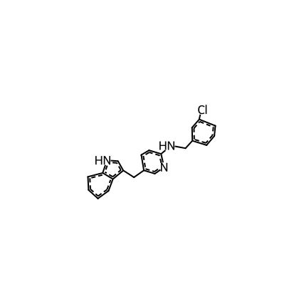 Clc1cccc(CNc2ccc(Cc3c[nH]c4ccccc34)cn2)c1